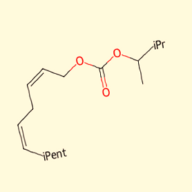 CCCC(C)/C=C\C/C=C\COC(=O)OC(C)C(C)C